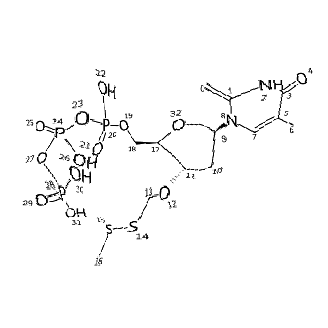 C=C1NC(=O)C(C)=CN1[C@H]1C[C@H](OCSSC)[C@@H](COP(=O)(O)OP(=O)(O)OP(=O)(O)O)O1